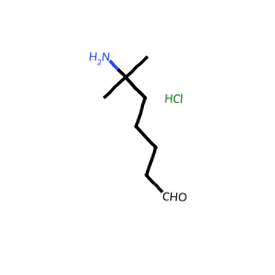 CC(C)(N)CCCCC=O.Cl